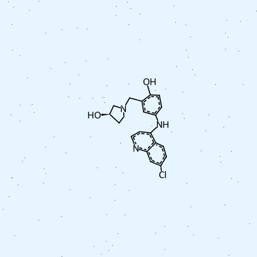 Oc1ccc(Nc2ccnc3cc(Cl)ccc23)cc1CN1CC[C@@H](O)C1